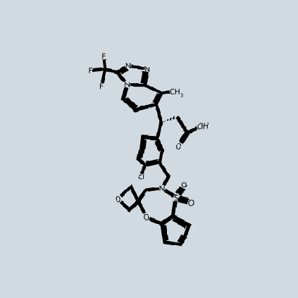 Cc1c([C@H](CC(=O)O)c2ccc(Cl)c(CN3CC4(COC4)Oc4ccccc4S3(=O)=O)c2)ccn2c(C(F)(F)F)nnc12